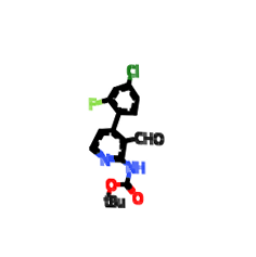 CC(C)(C)OC(=O)Nc1nccc(-c2ccc(Cl)cc2F)c1C=O